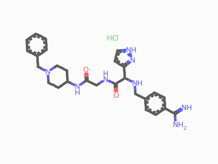 Cl.N=C(N)c1ccc(CNC(C(=O)NCC(=O)NC2CCN(Cc3ccccc3)CC2)c2cc[nH]n2)cc1